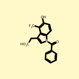 O=C(O)Cc1cn(C(=O)c2ccccc2)c2ccc(O)c(C(F)(F)F)c12